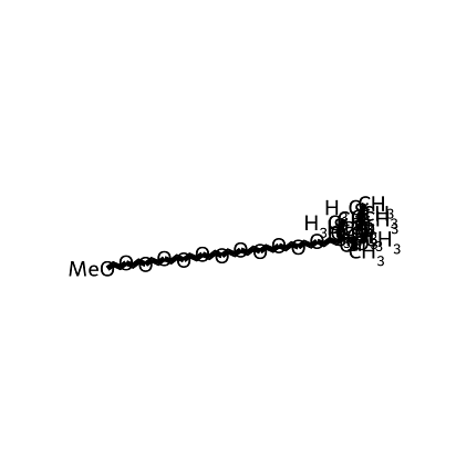 COCCOCCOCCOCCOCCOCCOCCOCCOCCOCCOCCOCCC[Si](C)(O[Si](C)(C)C)O[Si](C)(C)O[Si](C)(C)O[Si](C)(C)O[Si](C)(C)C